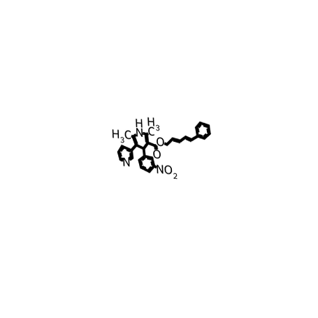 CC1=C(C(=O)OC/C=C/C=C/c2ccccc2)C(c2cccc([N+](=O)[O-])c2)C(c2cccnc2)=C(C)N1